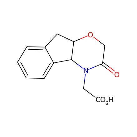 O=C(O)CN1C(=O)COC2Cc3ccccc3C21